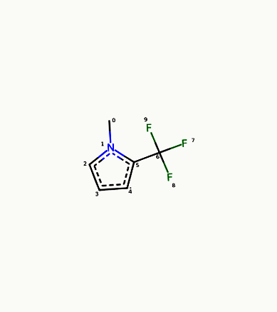 Cn1cc[c]c1C(F)(F)F